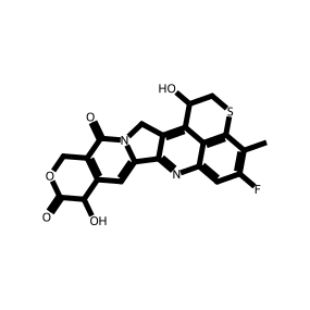 Cc1c(F)cc2nc3c(c4c2c1SCC4O)Cn1c-3cc2c(c1=O)COC(=O)C2O